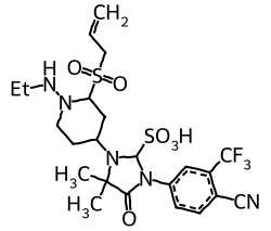 C=CCS(=O)(=O)C1CC(N2C(S(=O)(=O)O)N(c3ccc(C#N)c(C(F)(F)F)c3)C(=O)C2(C)C)CCN1NCC